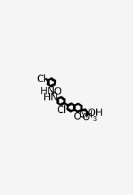 C[C@]1(CC(=O)O)CCc2cc(-c3ccc(NC(=O)Nc4cccc(Cl)c4)cc3Cl)ccc2C1=O